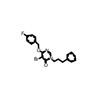 O=c1c(Br)c(OCc2ccc(F)cc2)ncn1CCCc1ccccc1